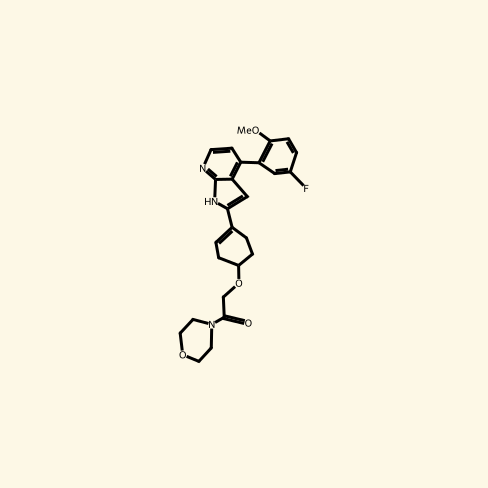 COc1ccc(F)cc1-c1ccnc2[nH]c(C3=CCC(OCC(=O)N4CCOCC4)CC3)cc12